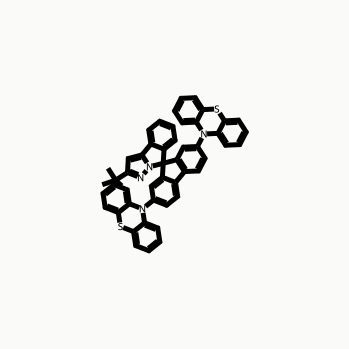 CC(C)(C)c1cc2n(n1)C1(c3cc(N4c5ccccc5Sc5ccccc54)ccc3-c3ccc(N4c5ccccc5Sc5ccccc54)cc31)c1ccccc1-2